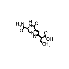 C=CC(C(=O)O)c1cc2n(n1)CC(C(N)=O)NC2=O